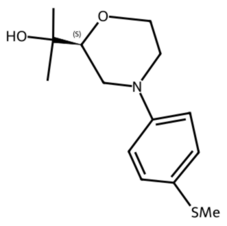 CSc1ccc(N2CCO[C@H](C(C)(C)O)C2)cc1